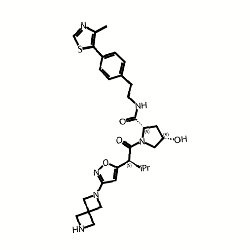 Cc1ncsc1-c1ccc(CCNC(=O)[C@@H]2C[C@H](O)CN2C(=O)[C@H](c2cc(N3CC4(CNC4)C3)no2)C(C)C)cc1